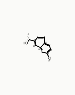 C[C@@H](O)c1ccc2ccc(Cl)nc2c1